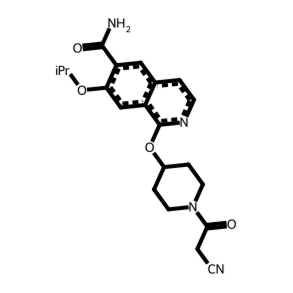 CC(C)Oc1cc2c(OC3CCN(C(=O)CC#N)CC3)nccc2cc1C(N)=O